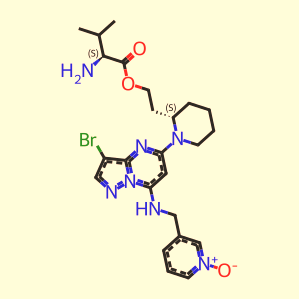 CC(C)[C@H](N)C(=O)OCC[C@@H]1CCCCN1c1cc(NCc2ccc[n+]([O-])c2)n2ncc(Br)c2n1